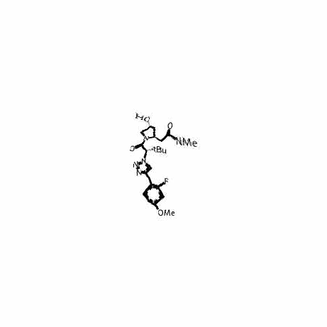 CNC(=O)C[C@@H]1C[C@@H](O)CN1C(=O)[C@@H](n1cc(-c2ccc(OC)cc2F)nn1)C(C)(C)C